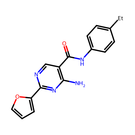 CCc1ccc(NC(=O)c2cnc(-c3ccco3)nc2N)cc1